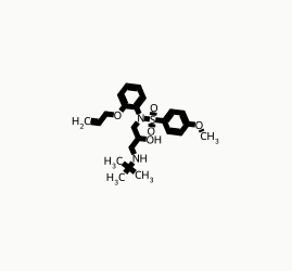 C=CCOc1ccccc1N(CC(O)CNC(C)(C)C)S(=O)(=O)c1ccc(OC)cc1